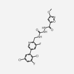 COc1cc(C(=O)NNC(=O)NCc2ncc(-c3cc(Cl)cc(F)c3Cl)cc2F)on1